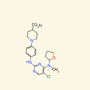 CN(c1nc(Nc2ccc(N3CCC(C(=O)O)CC3)cc2)ncc1Cl)C1CCCO1